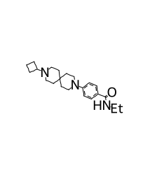 CCNC(=O)c1ccc(N2CCC3(CC2)CCN(C2CCC2)CC3)cc1